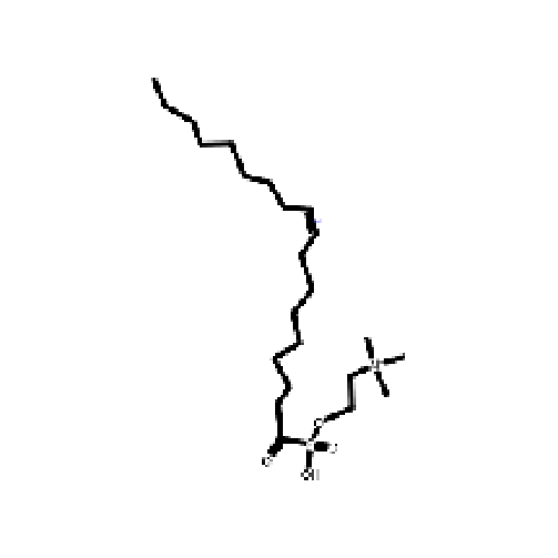 CCCCCCCC/C=C\CCCCCCCC(=O)P(=O)(O)OCC[N+](C)(C)C